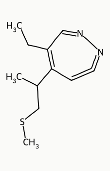 CCC1=C(C(C)CSC)C=C=NN=C1